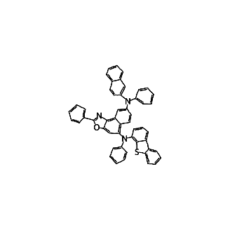 c1ccc(-c2nc3c(cc(N(c4ccccc4)c4cccc5c4sc4ccccc45)c4ccc(N(c5ccccc5)c5ccc6ccccc6c5)cc43)o2)cc1